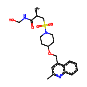 CCC[C@@H](CS(=O)(=O)N1CCC(OCc2cc(C)nc3ccccc23)CC1)C(=O)NCO